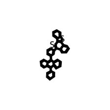 c1ccc(-c2c3ccccc3c(-c3ccc4sc5c(c4c3)c3ccccc3c3sc4ccccc4c35)c3ccccc23)cc1